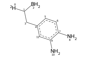 [2H]C(B)Cc1ccc(N)c(N)c1